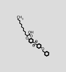 CCCCCCCCCCC(Oc1ccc(S(=O)(=O)c2ccc(OCc3ccccc3)cc2)cc1)C(=O)O